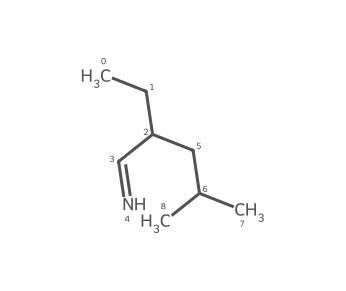 CCC(C=N)CC(C)C